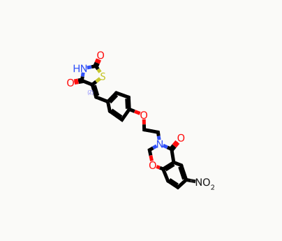 O=C1NC(=O)/C(=C/c2ccc(OCCN3COc4ccc([N+](=O)[O-])cc4C3=O)cc2)S1